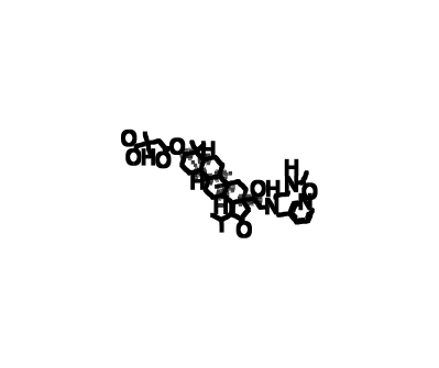 CC(=O)NCCN(Cc1cccnc1)C[C@H](O)[C@@]12CC[C@]3(C)[C@H](CC[C@@H]4[C@@]5(C)CC[C@H](OC(=O)CC(C)(C)C(=O)O)C(C)(C)[C@@H]5CC[C@]43C)C1=C(C(C)C)C(=O)C2